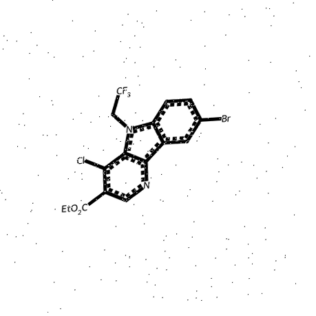 CCOC(=O)c1cnc2c3cc(Br)ccc3n(CC(F)(F)F)c2c1Cl